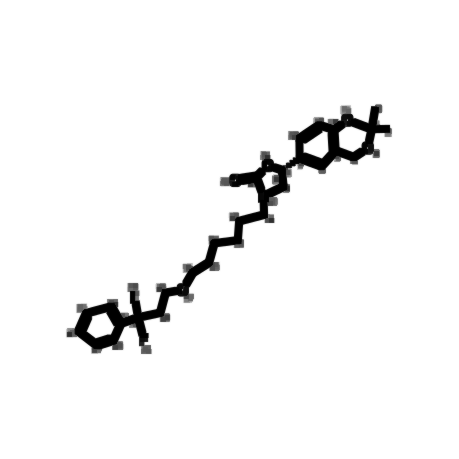 CC1(C)OCc2cc([C@@H]3CN(CCCCCCOCCC(F)(F)c4ccccc4)C(=O)O3)ccc2O1